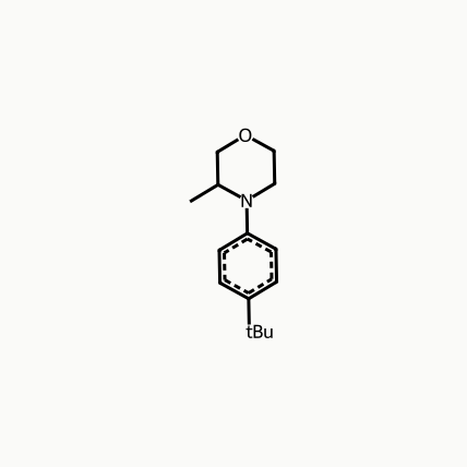 CC1COCCN1c1ccc(C(C)(C)C)cc1